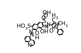 Cc1c(/N=N/c2c(SOOO)cc3cc(S(=O)(=O)O)c(/N=N/c4cccc5ncccc45)c(O)c3c2O)c(=O)n(-c2ccccc2)n1C